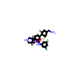 NCc1cc(F)c(-c2ccc([C@@]3(O)[C@@H]4CNC[C@H]3CN(C(=O)Nc3cc(F)cc(F)c3)C4)cc2)c(F)c1